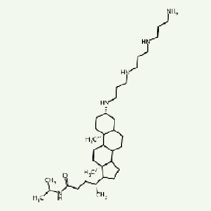 CC(C)NC(=O)CC[C@@H](C)C1CCC2C3CCC4C[C@@H](NCCCNCCCNCCCN)CC[C@]4(C)C3CC[C@@]21C